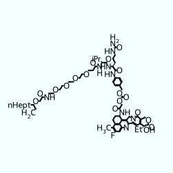 C=CC(CCCCCCC)OCC(=O)NCCOCCOCCOCCOCCC(=O)N[C@H](C(=O)N[C@@H](CCCNC(N)=O)C(=O)Nc1ccc(COC(=O)OCC(=O)N[C@H]2CCc3c(C)c(F)cc4nc5c(c2c34)Cn2c-5cc3c(c2=O)COC(=O)[C@]3(O)CC)cc1)C(C)C